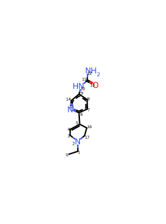 CCN1CC=C(c2ccc(NC(N)=O)cn2)CC1